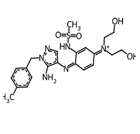 Cc1ccc(Cn2ncc(/N=C3/C=CC(=[N+](CCO)CCO)C=C3NS(C)(=O)=O)c2N)cc1